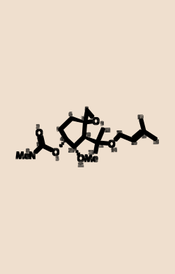 CNC(=O)O[C@@H]1CC[C@]2(CO2)[C@@H](C(C)(C)OCC=C(C)C)[C@@H]1OC